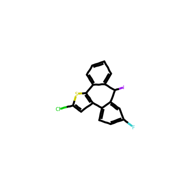 Fc1ccc2c(c1)C(I)c1ccccc1-c1sc(Cl)cc1-2